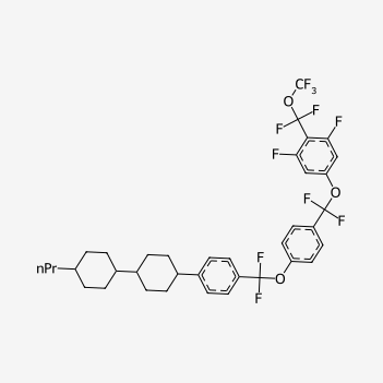 CCCC1CCC(C2CCC(c3ccc(C(F)(F)Oc4ccc(C(F)(F)Oc5cc(F)c(C(F)(F)OC(F)(F)F)c(F)c5)cc4)cc3)CC2)CC1